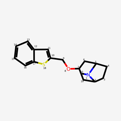 CN1C2CCC1CC(OCc1cc3ccccc3s1)C2